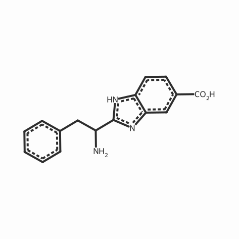 NC(Cc1ccccc1)c1nc2cc(C(=O)O)ccc2[nH]1